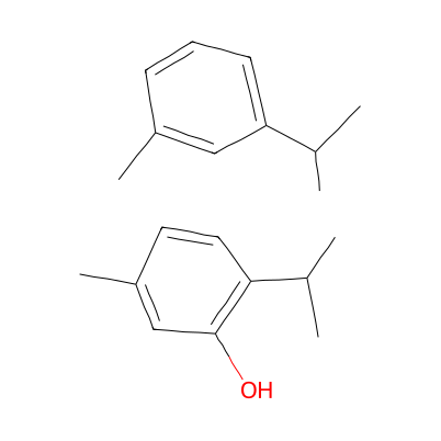 Cc1ccc(C(C)C)c(O)c1.Cc1cccc(C(C)C)c1